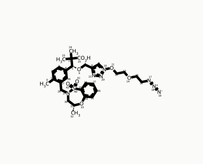 Cc1ccc([C@@H](OCc2cn(OCCOCCN=[N+]=[N-])nn2)C(C)(C)C(=O)O)cc1CN1C[C@@H](C)Oc2ccccc2S1(=O)=O